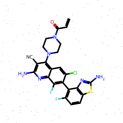 C=CC(=O)N1CCN(c2c(C#N)c(N)nc3c(F)c(-c4c(F)ccc5sc(N)nc45)c(Cl)cc23)CC1